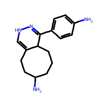 Nc1ccc(C2=NNC=C3CCC(N)CCCC32)cc1